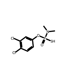 CN(C)P(=O)(S)Oc1ccc(Cl)c(Cl)c1